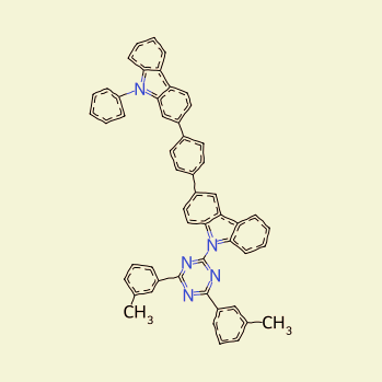 Cc1cccc(-c2nc(-c3cccc(C)c3)nc(-n3c4ccccc4c4cc(-c5ccc(-c6ccc7c8ccccc8n(-c8ccccc8)c7c6)cc5)ccc43)n2)c1